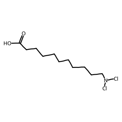 O=C(O)CCCCCCCCCCN(Cl)Cl